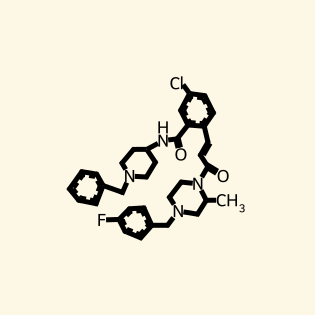 CC1CN(Cc2ccc(F)cc2)CCN1C(=O)C=Cc1ccc(Cl)cc1C(=O)NC1CCN(Cc2ccccc2)CC1